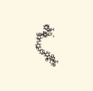 O=C1CCC(N2C(=O)c3ccc(N4CCC(CN5CCC(CCN6CCC(Nc7ncc(C(F)(F)F)c(-c8c[nH]c9ncccc89)n7)C6)CC5)CC4)cc3C2=O)C(=O)N1